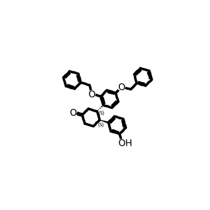 O=C1CC[C@H](c2cccc(O)c2)[C@@H](c2ccc(OCc3ccccc3)cc2OCc2ccccc2)C1